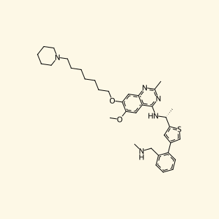 CNCc1ccccc1-c1csc([C@@H](C)Nc2nc(C)nc3cc(OCCCCCCCN4CCCCC4)c(OC)cc23)c1